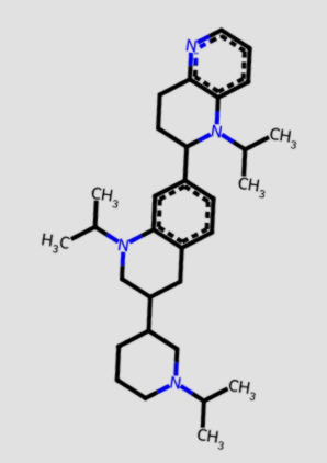 CC(C)N1CCCC(C2Cc3ccc(C4CCc5ncccc5N4C(C)C)cc3N(C(C)C)C2)C1